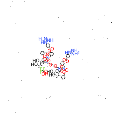 N=C(N)Nc1ccc(C(=O)Oc2cccc(CN(C(=O)OCc3ccccc3)S(=O)(=O)N(CCOCCOCCN([C@@H](CC(=O)O)C(=O)O)S(=O)(=O)N(Cc3cccc(OC(=O)c4ccc(NC(=N)N)cc4)c3)C(=O)OCc3ccccc3)[C@@H](CC(=O)O)C(=O)O)c2)cc1.O=C(O)C(F)(F)F